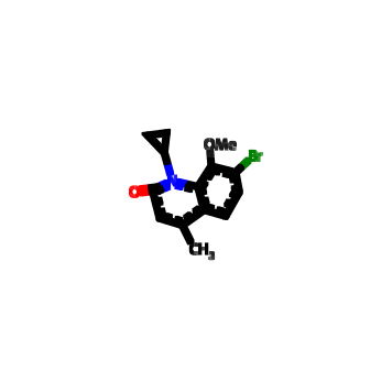 COc1c(Br)ccc2c(C)cc(=O)n(C3CC3)c12